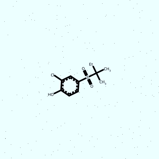 CCC(C)(C)S(=O)(=O)c1ccc(O)c(Cl)c1